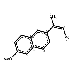 COc1ccc2cc(/C(C)=C\C(C)=O)ccc2c1